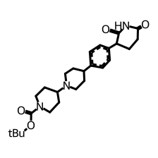 CC(C)(C)OC(=O)N1CCC(N2CCC(c3ccc(C4CCC(=O)NC4=O)cc3)CC2)CC1